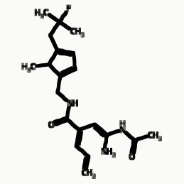 C=C/C=C(\C=C(/N)NC(C)=O)C(=O)NCC1=CC=C(CC(C)(C)F)C1C